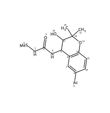 CSNC(=O)NC1c2cc(C(C)=O)ccc2OC(C)(C)C1O